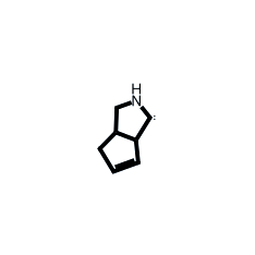 [C]1NCC2CC=CC12